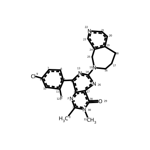 Cc1nc2c(-c3ccc(Cl)cc3F)nc(N3CCCc4ccncc4C3)nc2c(=O)n1C